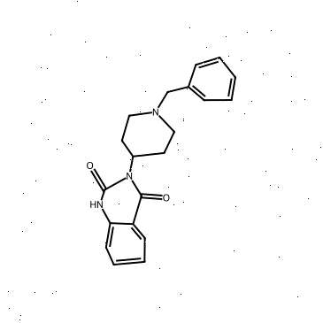 O=c1[nH]c2ccccc2c(=O)n1C1CCN(Cc2ccccc2)CC1